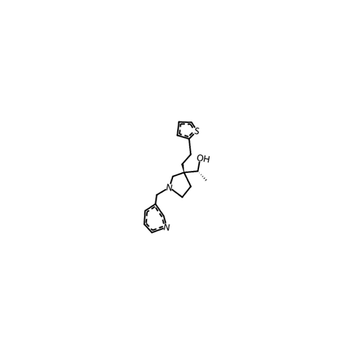 C[C@@H](O)[C@]1(CCc2cccs2)CCN(Cc2cccnc2)C1